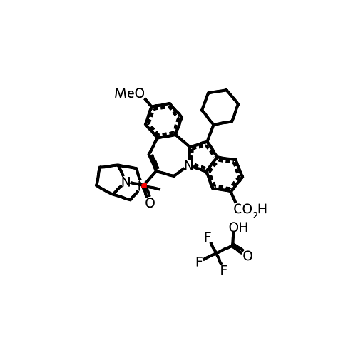 COc1ccc2c(c1)C=C(C(=O)N1C3CCC1CN(C)C3)Cn1c-2c(C2CCCCC2)c2ccc(C(=O)O)cc21.O=C(O)C(F)(F)F